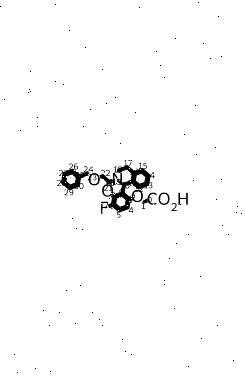 O=C(O)COc1ccc(F)cc1C1c2ccccc2CCN1C(=O)COCc1ccccc1